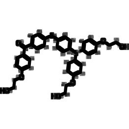 O=C(c1ccc(OCCO)cc1)c1ccc(Sc2ccc([S+](c3ccc(OCCO)cc3)c3ccc(OCCO)cc3)cc2)cc1